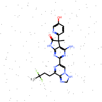 CC1(c2ccc(O)cn2)C(=O)Nc2nc(C3=CN4NCN=C4C(CCC(F)(F)C(F)(F)F)=N3)nc(N)c21